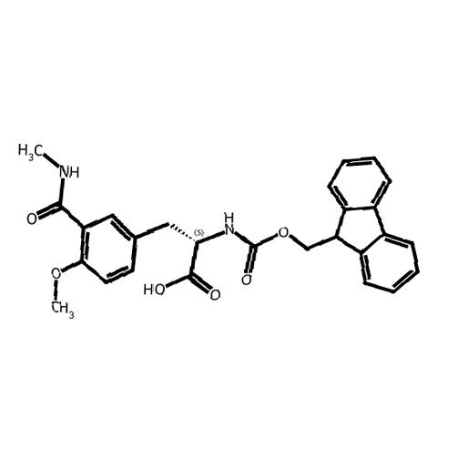 CNC(=O)c1cc(C[C@H](NC(=O)OCC2c3ccccc3-c3ccccc32)C(=O)O)ccc1OC